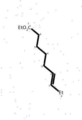 CCC=CCCCCC(=O)OCC